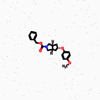 COc1ccc(O[C@@H]2C[C@@H]3CN(C(=O)OCc4ccccc4)C[C@@H]3C2)cc1